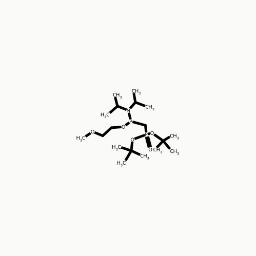 COCCOP(CP(=O)(OC(C)(C)C)OC(C)(C)C)N(C(C)C)C(C)C